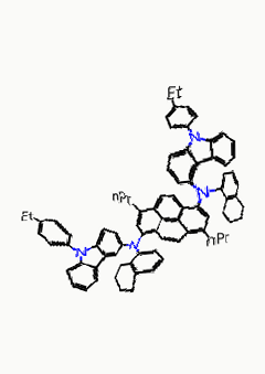 CCCc1cc(N(c2ccc3c(c2)c2ccccc2n3-c2ccc(CC)cc2)c2cccc3c2CCCC3)c2ccc3c(CCC)cc(N(c4cccc5c4CCCC5)c4cccc5c4c4ccccc4n5-c4ccc(CC)cc4)c4ccc1c2c34